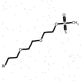 CS(=O)(=S)OCCOCCOCCBr